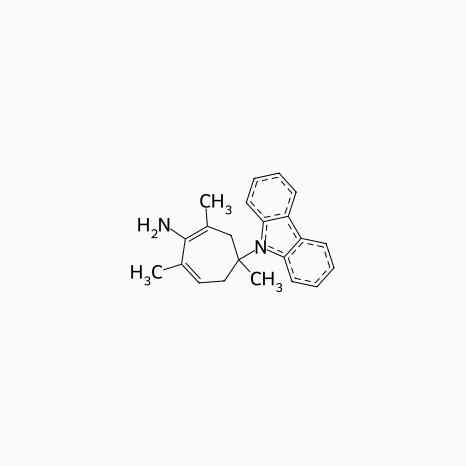 CC1=CCC(C)(n2c3ccccc3c3ccccc32)CC(C)=C1N